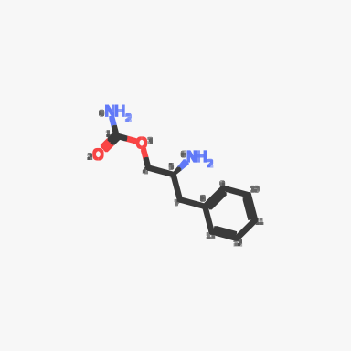 NC(=O)OC[C@@H](N)Cc1ccccc1